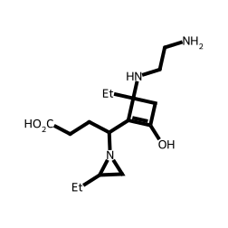 CCC1CN1C(CCC(=O)O)C1=C(O)CC1(CC)NCCN